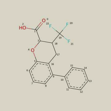 O=C(O)C1Oc2cccc(-c3ccccc3)c2CC1C(F)(F)F